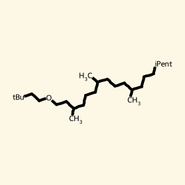 CCCC(C)CCCC(C)CCCC(C)CCCC(C)CCOCCC(C)(C)C